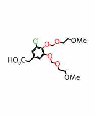 COCCOCOc1cc(CC(=O)O)cc(Cl)c1OCOCCOC